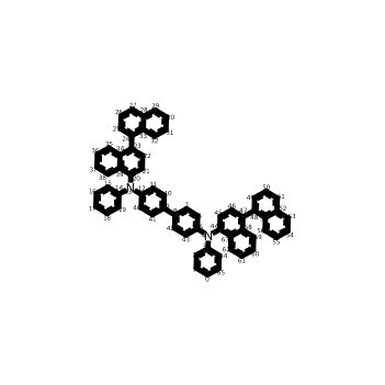 c1ccc(N(c2ccc(-c3ccc(N(c4ccccc4)c4ccc(-c5cccc6ccccc56)c5ccccc45)cc3)cc2)c2ccc(-c3cccc4ccccc34)c3ccccc23)cc1